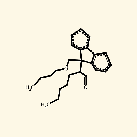 CCCCCC(C=O)C1(COCCCC)c2ccccc2-c2ccccc21